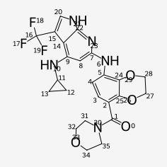 O=C(c1ccc(Nc2cc(NC3CC3)c3c(C(F)(F)F)c[nH]c3n2)c2c1OCCO2)N1CCOCC1